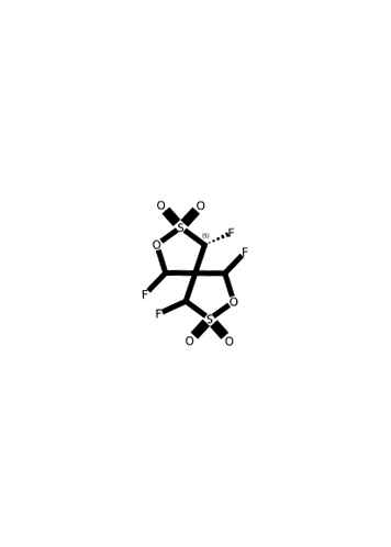 O=S1(=O)OC(F)C2(C(F)OS(=O)(=O)[C@@H]2F)C1F